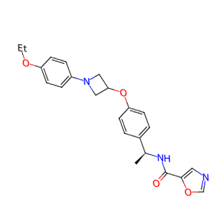 CCOc1ccc(N2CC(Oc3ccc([C@H](C)NC(=O)c4cnco4)cc3)C2)cc1